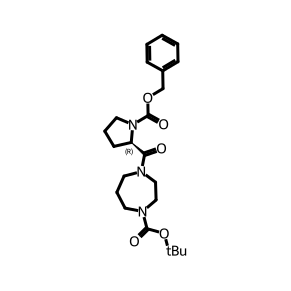 CC(C)(C)OC(=O)N1CCCN(C(=O)[C@H]2CCCN2C(=O)OCc2ccccc2)CC1